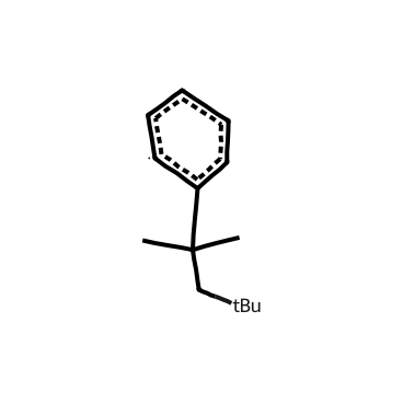 CC(C)(C)CC(C)(C)c1[c]cccc1